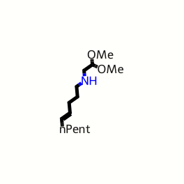 CCCCCC=CCCCNCC(OC)OC